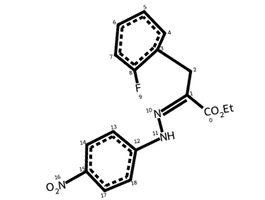 CCOC(=O)C(Cc1ccccc1F)=NNc1ccc([N+](=O)[O-])cc1